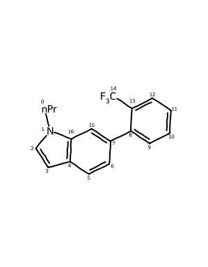 CCCn1ccc2ccc(-c3ccccc3C(F)(F)F)cc21